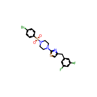 O=S(=O)(c1ccc(Br)cc1)N1CCN(c2nc(Cc3cc(F)cc(F)c3)cs2)CC1